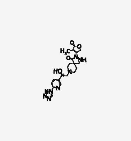 CC1=C(N2NCC3(CCN(C[C@H](O)c4ccc(-n5cnnn5)nc4)CC3)C2=O)COC1=O